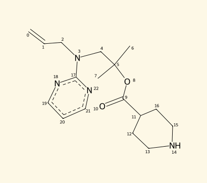 C=CCN(CC(C)(C)OC(=O)C1CCNCC1)c1ncccn1